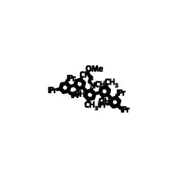 COCCCN(C)c1c(-c2cc(C)cc(-c3c(C(C)C)cc(C(C)C)cc3C(C)C)c2O)cc(C)cc1-c1cc(C)cc(-c2c(C(C)C)cc(C(C)C)cc2C(C)C)c1O